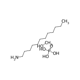 CCCCCCCCCCCCN.CO.O=P(O)(O)O